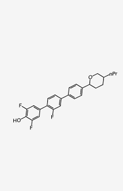 CCCC1CCC(c2ccc(-c3ccc(-c4cc(F)c(O)c(F)c4)c(F)c3)cc2)OC1